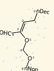 CCCCCCCCCCCC=C(C=O)OCOCCCCCCCCC